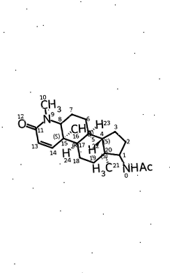 CC(=O)NC1CC[C@H]2[C@@H]3CCC4N(C)C(=O)C=C[C@]4(C)[C@@H]3CC[C@]12C